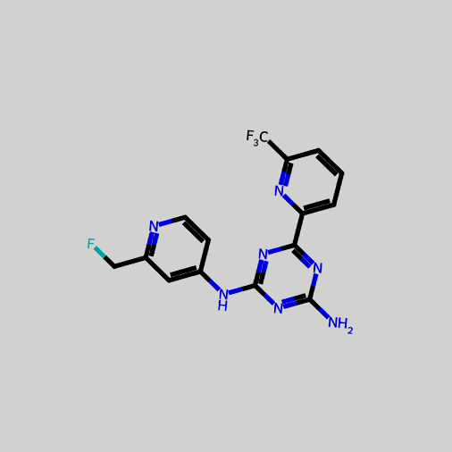 Nc1nc(Nc2ccnc(CF)c2)nc(-c2cccc(C(F)(F)F)n2)n1